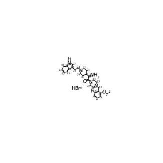 Br.CCOc1cccc(F)c1CN1CCN(C(=O)[C@H](N)C2CCN(CCc3c[nH]c4ccccc34)CC2)CC1